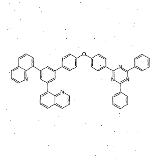 c1ccc(-c2nc(-c3ccccc3)nc(-c3ccc(Oc4ccc(-c5cc(-c6cccc7cccnc67)cc(-c6cccc7cccnc67)c5)cc4)cc3)n2)cc1